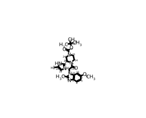 COc1ccc2nc(C)n(CC(=O)N3CCN(C(=O)OC(C)(C)C)C[C@H]3c3ncc(I)[nH]3)c2c1